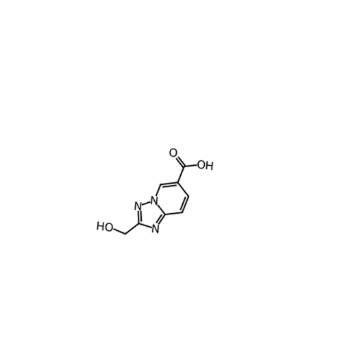 O=C(O)c1ccc2nc(CO)nn2c1